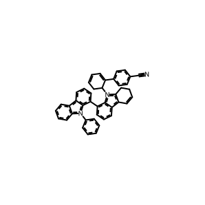 N#Cc1ccc(C2=CC=CCC2n2c3c(c4cccc(-c5cccc6c7ccccc7n(-c7ccccc7)c56)c42)C=CCC3)cc1